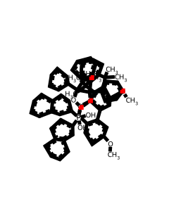 COc1ccc(OP2OC(c3ccccc3)(c3ccccc3)C(c3ccccc3)(c3ccccc3)O2)c(-c2cc(OC)c(C(C)(C)C)c(C(C)(C)C)c2OP(O)(O)(c2ccc3ccccc3c2)c2ccc3ccccc3c2)c1